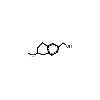 COC1CCc2cc(CO)ccc2C1